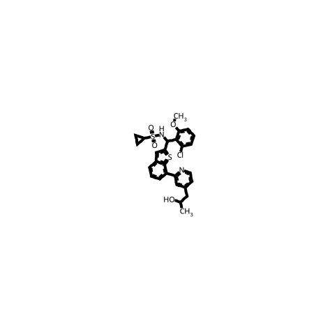 COc1cccc(Cl)c1C(NS(=O)(=O)C1CC1)c1cc2cccc(-c3cc(CC(C)O)ccn3)c2s1